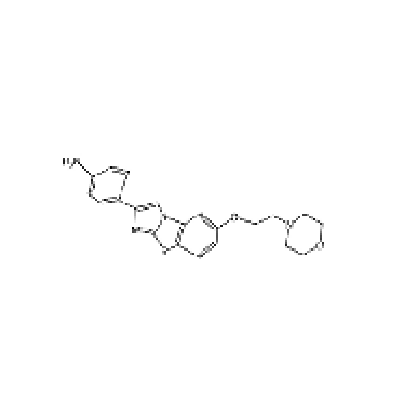 Nc1ccc(-c2cn3c(n2)sc2ccc(OCCN4CCOCC4)cc23)cc1